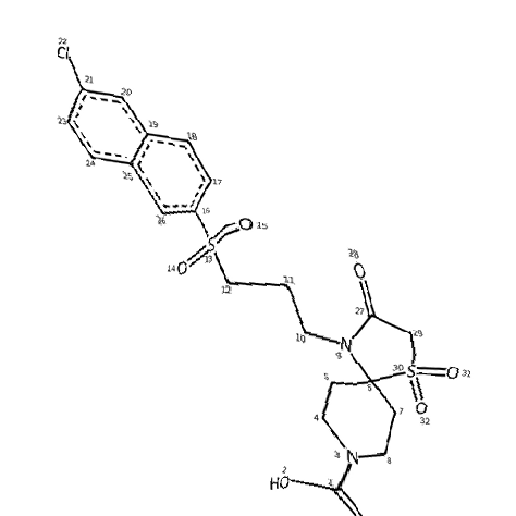 O=C(O)N1CCC2(CC1)N(CCCS(=O)(=O)c1ccc3cc(Cl)ccc3c1)C(=O)CS2(=O)=O